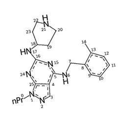 CCCn1ncc2c(NCc3ccccc3C)nc(NC3CCNCC3)nc21